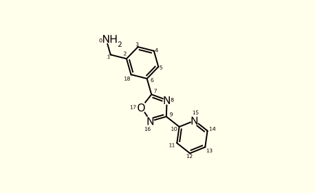 NCc1cccc(-c2nc(-c3ccccn3)no2)c1